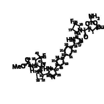 CCC(C)C[C@H](OC(N)=O)C(=O)N1C[C@H](F)C[C@H]1c1ncc(-c2ccc(-c3ccc(-c4cnc(C5CCCN5C(=O)[C@H](CC(C)(C)F)NC(=O)OC)[nH]4)cc3)cc2)[nH]1